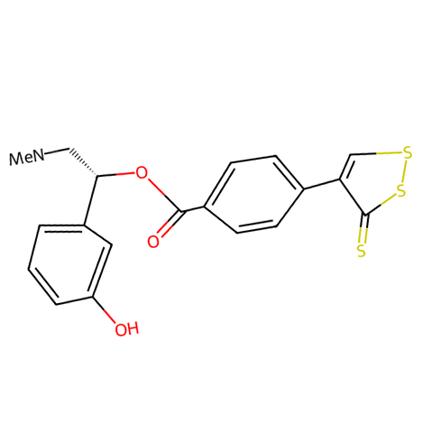 CNC[C@H](OC(=O)c1ccc(-c2cssc2=S)cc1)c1cccc(O)c1